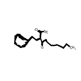 CCCCCCC(=O)C(CCc1ccccc1)C(=O)O